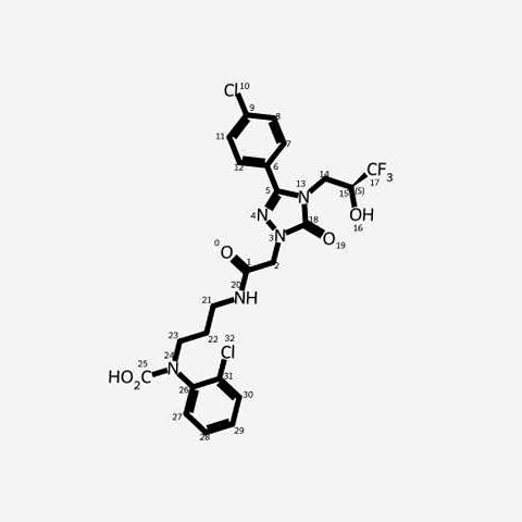 O=C(Cn1nc(-c2ccc(Cl)cc2)n(C[C@H](O)C(F)(F)F)c1=O)NCCCN(C(=O)O)c1ccccc1Cl